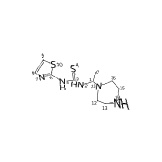 CC(NC(=S)Nc1nccs1)N1CCNCC1